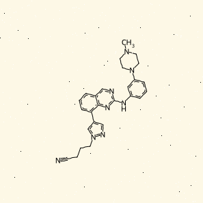 CN1CCN(c2cccc(Nc3ncc4cccc(-c5cnn(CCCC#N)c5)c4n3)c2)CC1